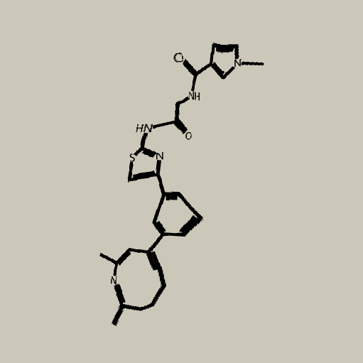 CC1=C/C(c2cccc(-c3csc(NC(=O)CNC(=O)c4ccn(C)c4)n3)c2)=C\CC/C(C)=N\1